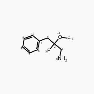 NCC(F)(Cc1ccccc1)OF